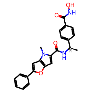 C[C@@H](NC(=O)c1cc2oc(-c3ccccc3)cc2n1C)c1ccc(C(=O)NO)cc1